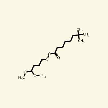 COC(CCCOOC(=O)CCCCCC(C)(C)C)OC